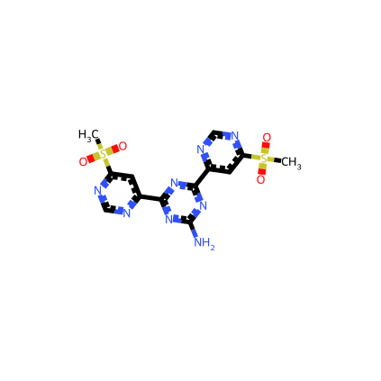 CS(=O)(=O)c1cc(-c2nc(N)nc(-c3cc(S(C)(=O)=O)ncn3)n2)ncn1